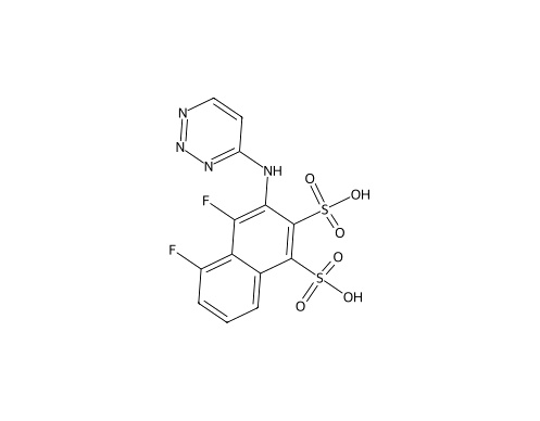 O=S(=O)(O)c1c(Nc2ccnnn2)c(F)c2c(F)cccc2c1S(=O)(=O)O